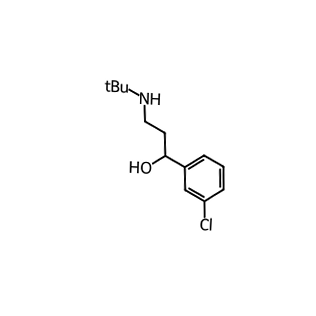 CC(C)(C)NCCC(O)c1cccc(Cl)c1